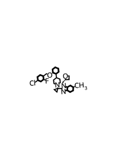 Cc1ccc2nc(C3(N4CCC(c5ccccc5OCc5ccc(Cl)cc5F)CC4)CC3)n(C[C@@H]3CCO3)c2c1